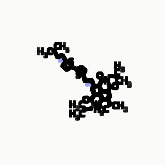 CC(C)/C=C/c1ccc(-c2ccc(/C=C/c3cc4c5c(c(C(C)C)cc6c5c3C(=O)N(CC(C)C)C6=O)C(=O)N(CC(C)C)C4=O)s2)s1